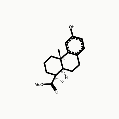 COC(=O)[C@@]1(C)CCC[C@]2(C)c3cc(O)ccc3CC[C@@H]12